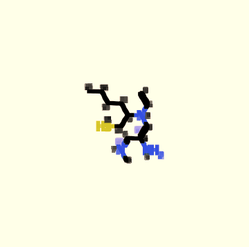 C=CN(/C=C(N)\C=N/C)C(CS)CCCC